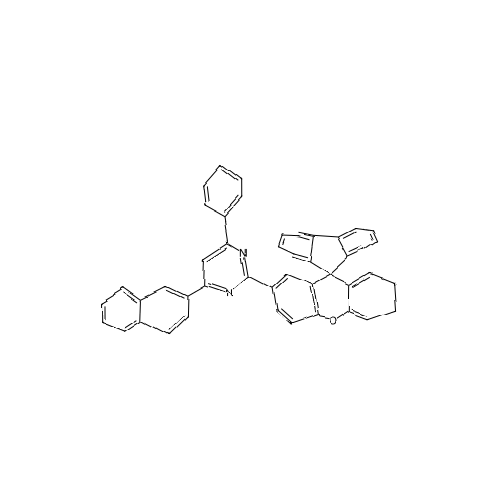 C1=C2Oc3ccc(-c4nc(-c5ccccc5)cc(-c5ccc6ccccc6c5)n4)cc3C3(C2=CCC1)c1ccccc1-c1ccccc13